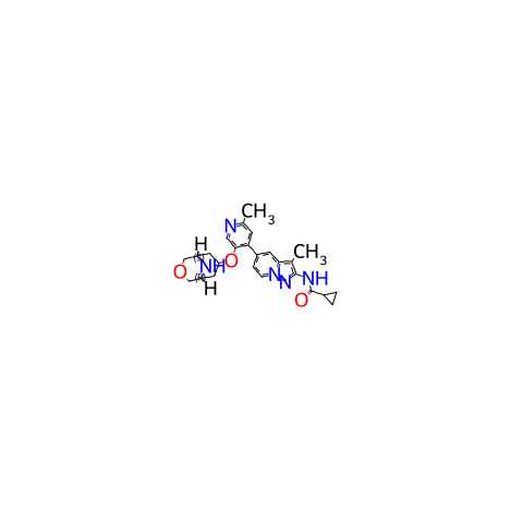 Cc1cc(-c2ccn3nc(NC(=O)C4CC4)c(C)c3c2)c(OC2C[C@H]3COC[C@@H](C2)N3)cn1